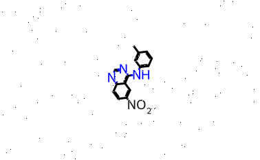 Cc1cccc(Nc2ncnc3ccc([N+](=O)[O-])cc23)c1